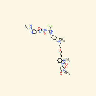 CN(CCCOCCCc1cccc2c1n(C)c(=O)n2C1CCC(=O)N(C)C1=O)C[C@H]1CC[C@H](n2cc(NC(=O)c3coc(-c4ccnc(NCC5CC5)c4)n3)c(C(F)F)n2)CC1